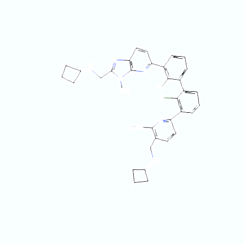 COc1nc(-c2cccc(-c3cccc(-c4ccc5nc(CN[C@H]6C[C@@H](O)C6)n(C)c5n4)c3Cl)c2Cl)ccc1CN[C@H]1C[C@@H](O)C1